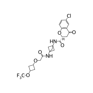 O=C(COC1CC(OC(F)(F)F)C1)NC12CC(NC(=O)[C@H]3CC(=O)c4cc(Cl)ccc4O3)(C1)C2